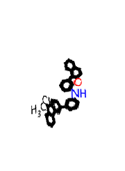 CC1(C)c2ccccc2-c2cc(-c3cccc(Nc4cccc5c4oc4ccc6ccccc6c45)c3)ccc21